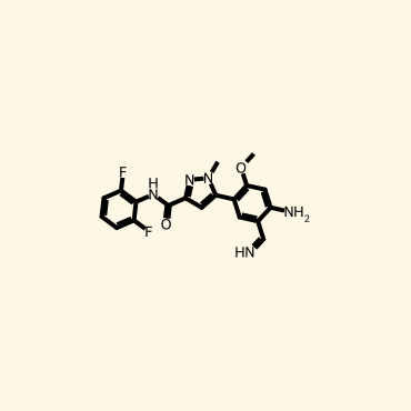 COc1cc(N)c(C=N)cc1-c1cc(C(=O)Nc2c(F)cccc2F)nn1C